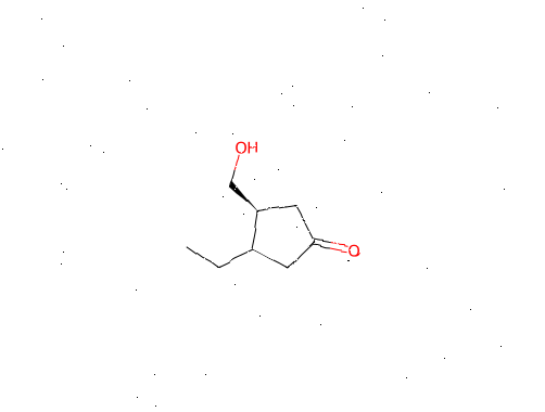 CCC1CC(=O)C[C@@H]1CO